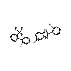 Fc1ccccc1-c1nc2ccn(Cc3ccc(-c4ccccc4C(F)(F)F)c(F)c3)cc-2n1